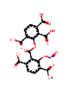 O=POc1c(C(=O)O)ccc(C(=O)O)c1C(=O)Oc1c(C(=O)O)ccc(C(=O)O)c1C(=O)O